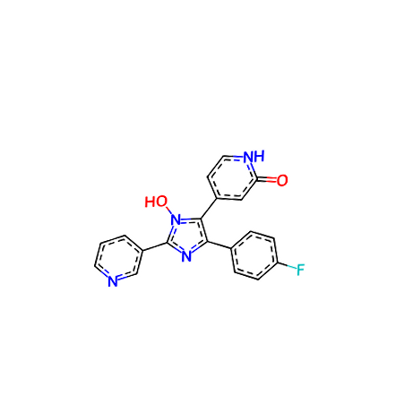 O=c1cc(-c2c(-c3ccc(F)cc3)nc(-c3cccnc3)n2O)cc[nH]1